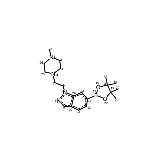 CN1CCN(CCn2ncc3ccc(B4OC(C)(C)C(C)(C)O4)cc32)CC1